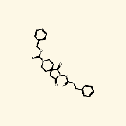 O=C(OCc1ccccc1)ON1C(=O)CC2(CCN(C(=O)OCc3ccccc3)CC2)C1=O